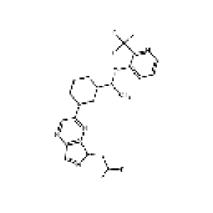 CC(Oc1cccnc1C(F)(F)F)C1CCCN(c2cnc3cnn(CC(F)F)c3n2)C1